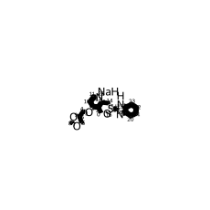 Cc1c(OCC2COCO2)ccnc1C[S+]([O-])c1nc2ccccc2[nH]1.[NaH]